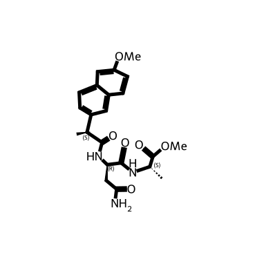 COC(=O)[C@H](C)NC(=O)[C@@H](CC(N)=O)NC(=O)[C@@H](C)c1ccc2cc(OC)ccc2c1